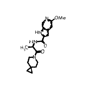 COc1cc2cc(C(=O)NC(C)C(=O)N3CCC4(CC3)CC4)[nH]c2cn1